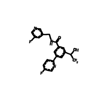 O=C(NCc1cncc(F)c1)c1cc(-c2ccc(F)cn2)cc(C(O)C(F)(F)F)c1